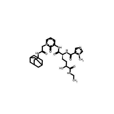 CCNC(=O)C(O)CC[C@H](NC(=O)c1cncn1C)C(=O)Nc1cccn(CC(=O)NC23CC4CC(CC(C4)C2)C3)c1=O